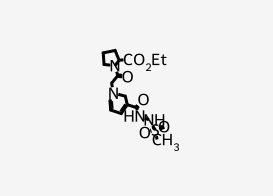 CCOC(=O)C1CCCN1C(=O)CN1C=CC=C(C(=O)NNS(C)(=O)=O)C1